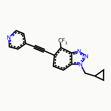 FC(F)(F)c1c(C#Cc2ccncc2)ccc2c1nnn2CC1CC1